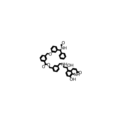 O=CNC(c1ccccc1)c1cccc(OCc2cccc(C(=O)OCc3cccc(CNCC(O)c4ccc(O)c5[nH]c(=O)ccc45)c3)c2)c1